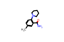 Cc1ccc(N2CCCCC2)c(C(N)=O)c1